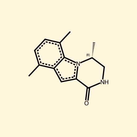 Cc1ccc(C)c2c1cc1n2[C@H](C)CNC1=O